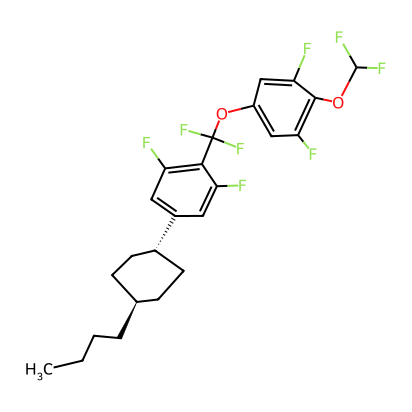 CCCC[C@H]1CC[C@H](c2cc(F)c(C(F)(F)Oc3cc(F)c(OC(F)F)c(F)c3)c(F)c2)CC1